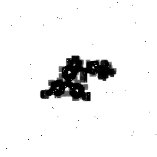 O=S(=O)(N1CCC(Nc2cnnc3ccc(C(c4ccc(Cl)cc4)c4ccc(Cl)cc4)cc23)C1)C(F)(F)F